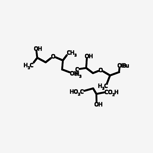 CC(C)COCC(C)OCC(C)O.CC(O)COC(C)CO.O=C(O)CC(O)C(=O)O